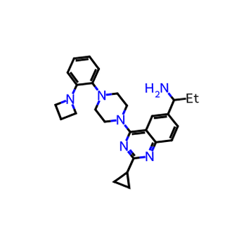 CCC(N)c1ccc2nc(C3CC3)nc(N3CCN(c4ccccc4N4CCC4)CC3)c2c1